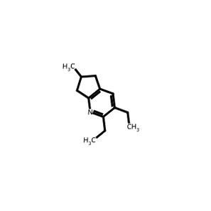 CCc1cc2c(nc1CC)CC(C)C2